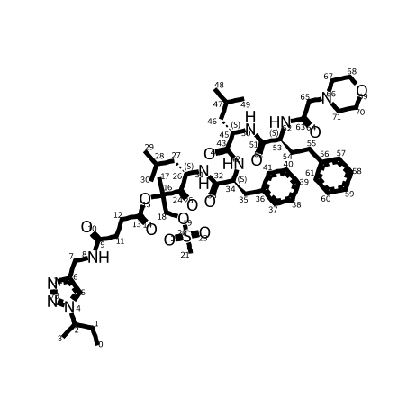 CCC(C)n1cc(CNC(=O)CCC(=O)OC(C)(COS(C)(=O)=O)C(=O)[C@H](CC(C)C)NC(=O)[C@H](Cc2ccccc2)NC(=O)[C@H](CC(C)C)NC(=O)[C@H](CCc2ccccc2)NC(=O)CN2CCOCC2)nn1